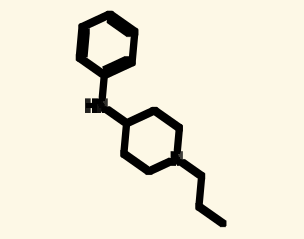 CCCN1CCC(Nc2ccccc2)CC1